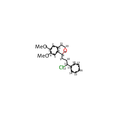 COc1cc2c(cc1OC)C(CCC(Cl)c1ccccc1)OCC2